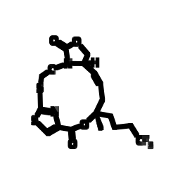 C[C@]1(CCCC(F)(F)F)CC=C[C@H]2COC(=O)N2CCSc2nc(cs2)C(=O)O1